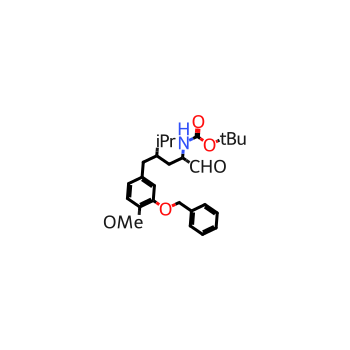 COc1ccc(CC(CC(C=O)NC(=O)OC(C)(C)C)C(C)C)cc1OCc1ccccc1